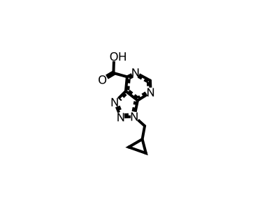 O=C(O)c1ncnc2c1nnn2CC1CC1